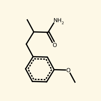 COc1cccc(CC(C)C(N)=O)c1